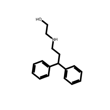 OCCNCCC(c1ccccc1)c1ccccc1